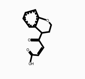 O=C(O)/C=C\C(=O)C1CCOc2ccccc21